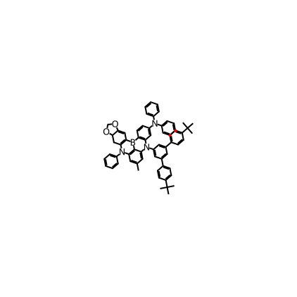 Cc1cc2c3c(c1)N(c1cc(-c4ccc(C(C)(C)C)cc4)cc(-c4ccc(C(C)(C)C)cc4)c1)c1cc(N(c4ccccc4)c4ccccc4)ccc1B3C1=C(CC3OCOC3=C1)N2c1ccccc1